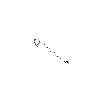 CCCCCCCCCc1ccco1